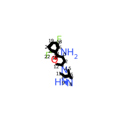 N[C@H]1C[C@@H](N2Cc3cn[nH]c3C2)COC1c1cc(F)ccc1F